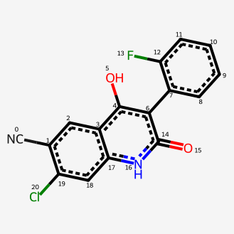 N#Cc1cc2c(O)c(-c3ccccc3F)c(=O)[nH]c2cc1Cl